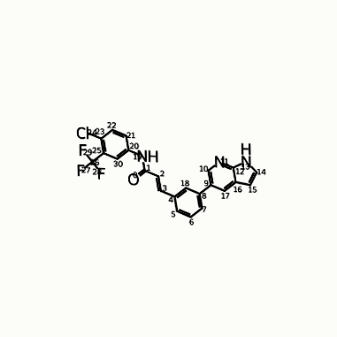 O=C(C=Cc1cccc(-c2cnc3[nH]ccc3c2)c1)Nc1ccc(Cl)c(C(F)(F)F)c1